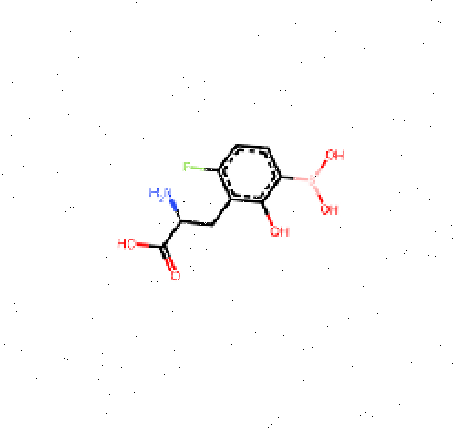 N[C@@H](Cc1c(F)ccc(B(O)O)c1O)C(=O)O